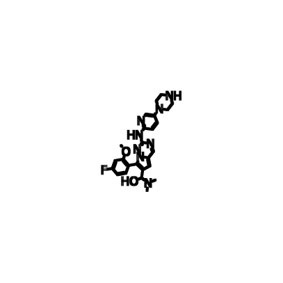 COc1cc(F)ccc1-c1c(C(O)N(C)C)cc2cnc(Nc3ccc(N4CCNCC4)cn3)nn12